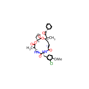 COc1ccc(C[C@H]2NC(=O)/C=C/CC([C@H](C)[C@H]3O[C@@H]3c3ccccc3)OC(=O)[C@H](CC(C)C)OC(=O)[C@H](C)CNC2=O)cc1Cl